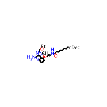 CCCCCCCCCCCCCCCCCC(=O)NCCCOc1cccc2nc(N)c3nc(COCC)n(C)c3c12